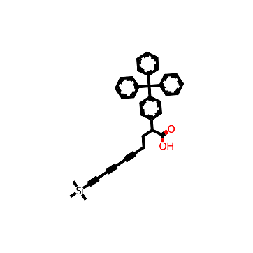 C[Si](C)(C)C#CC#CC#CCCC(C(=O)O)c1ccc(C(c2ccccc2)(c2ccccc2)c2ccccc2)cc1